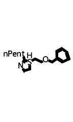 CCCCCC1=N[CH]C[SH]1CCOCc1ccccc1